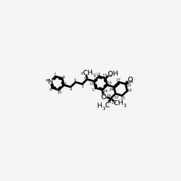 CC(CCCc1ccncc1)c1cc(O)c2c(c1)OC(C)(C)C1CCC(=O)C=C21